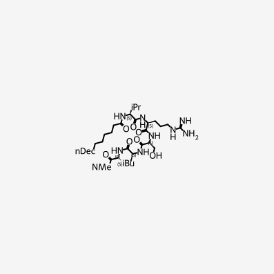 CCCCCCCCCCCCCCCC(=O)N[C@H](C(=O)N[C@@H](CCCNC(=N)N)C(=O)N[C@@H](CO)C(=O)N[C@@H](C)C(=O)N[C@H](C(=O)NC)[C@@H](C)CC)C(C)C